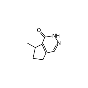 CC1CCc2cn[nH]c(=O)c21